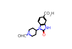 O=CN1CCC(n2c(=O)[nH]c3cc(C(=O)O)ccc32)CC1